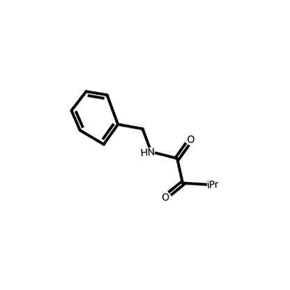 CC(C)C(=O)C(=O)NCc1ccccc1